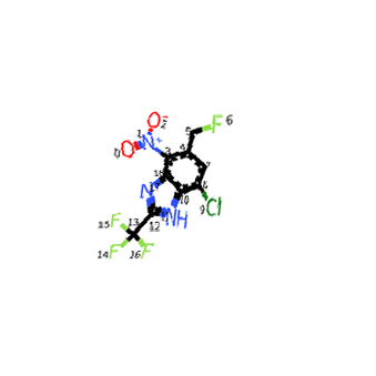 O=[N+]([O-])c1c(CF)cc(Cl)c2[nH]c(C(F)(F)F)nc12